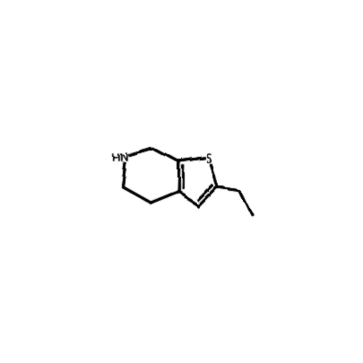 CCc1cc2c(s1)CNCC2